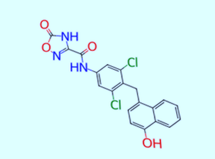 O=C(Nc1cc(Cl)c(Cc2ccc(O)c3ccccc23)c(Cl)c1)c1noc(=O)[nH]1